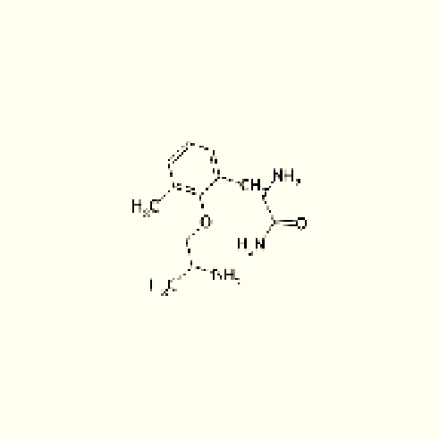 Cc1cccc(C)c1OCC(C)N.NCC(N)=O